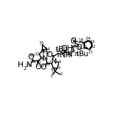 CC1(C)C2CN(C(=O)[C@@H](NC(=O)N[C@H](CS(=O)(=O)Cc3ccccc3)C(C)(C)C)C(C)(C)C)[C@H](C(=O)NC(CC3CC3)C(=O)C(N)=O)C21